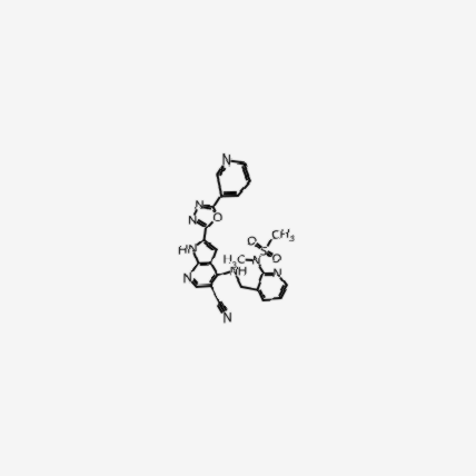 CN(c1ncccc1CNc1c(C#N)cnc2[nH]c(-c3nnc(-c4cccnc4)o3)cc12)S(C)(=O)=O